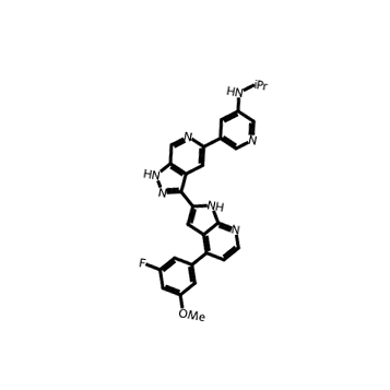 COc1cc(F)cc(-c2ccnc3[nH]c(-c4n[nH]c5cnc(-c6cncc(NC(C)C)c6)cc45)cc23)c1